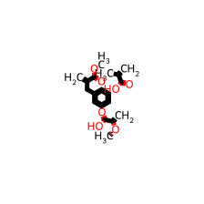 C=C(C)C(=O)O.C=C(Cc1ccccc1)C(=O)OC.C=C(OC)C(=O)O